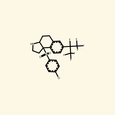 O=S(=O)(c1ccc(Cl)cc1)C12CCNC1CCc1cc(C(F)(C(F)(F)F)C(F)(F)F)ccc12